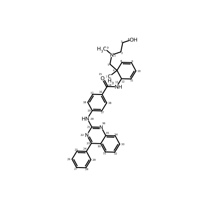 CN(CCO)CC1(C)C=CC=CC1NC(=O)c1ccc(Nc2nc(-c3ccccc3)c3ccccc3n2)cc1